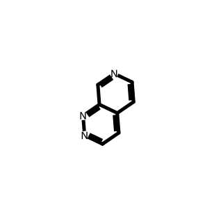 c1cc2ccnnc2cn1